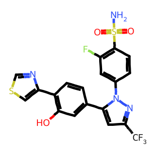 NS(=O)(=O)c1ccc(-n2nc(C(F)(F)F)cc2-c2ccc(-c3cscn3)c(O)c2)cc1F